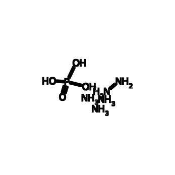 N.N.N.NN.O=P(O)(O)O